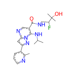 Cc1ncccc1-c1cc2ncc(C(=O)NCC(F)C(C)(C)O)c(NC(C)C)n2n1